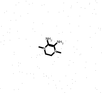 CN1CCN(C)C(N)=C1N